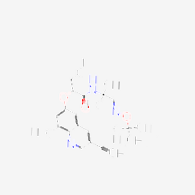 C#Cc1cnc2c(C)cc(OC(CC)C(=O)NC(C)(C)C=NOC(C)(C)C)cc2c1